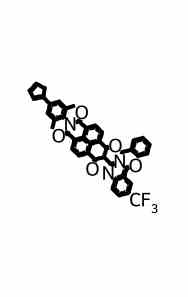 Cc1cc(C2=CC=CC2)cc(C)c1N1C(=O)c2ccc3c4c(ccc(c24)C1=O)C(=O)C(c1nc2ccc(C(F)(F)F)cc2c(=O)n1Cc1ccccc1)C3=O